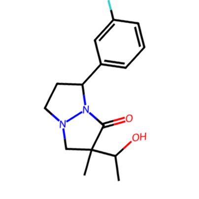 CC(O)C1(C)CN2CCC(c3cccc(F)c3)N2C1=O